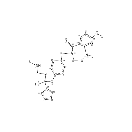 CNCCC(S)(Oc1ccc(CN2CCN(C)c3nc(OC)ncc3C2=O)cc1)c1cccs1